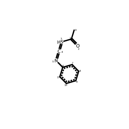 CC(=O)[SH]=C=Nc1ccccc1